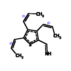 C/C=C\c1sc(C=N)c(/C=C\C)c1/C=C\C